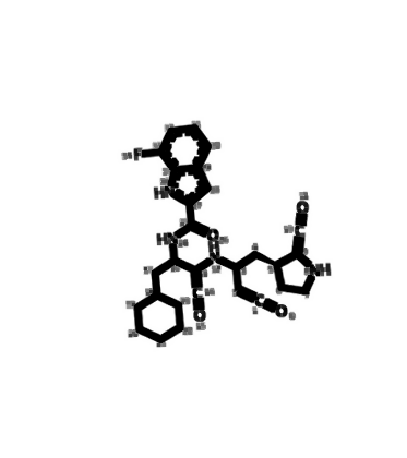 O=C=CC(C[C@@H]1CCNC1=C=O)NC(=C=O)C(CC1CCCCC1)NC(=O)c1cc2cccc(F)c2[nH]1